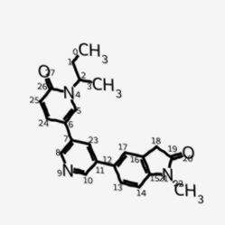 CCC(C)n1cc(-c2cncc(-c3ccc4c(c3)CC(=O)N4C)c2)ccc1=O